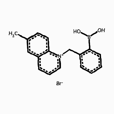 Cc1ccc2c(ccc[n+]2Cc2ccccc2B(O)O)c1.[Br-]